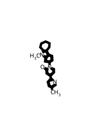 Cc1ccc(-c2ccn(-c3ccc4c5c(n(C)c4c3)CCCCC5)c(=O)c2)nc1